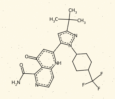 CC(C)(C)c1cc(-c2cc(=O)c3c(C(N)=O)nccc3[nH]2)n(C2CCC(C(F)(F)F)CC2)n1